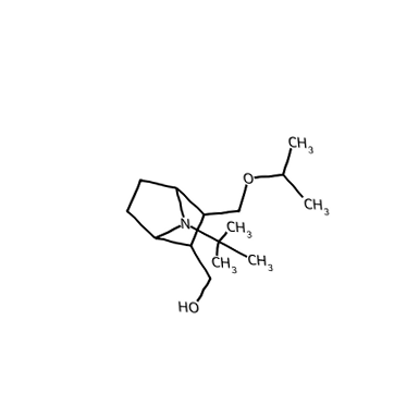 CC(C)OCC1C(CO)C2CCC1N2C(C)(C)C